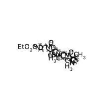 CCCC[C@H]1CN(C[C@H]2CCN(C(=O)OCC)C2)C(=O)OC12CCN(C1(C)CCN(C(=O)c3c(C)ncnc3C)CC1)CC2